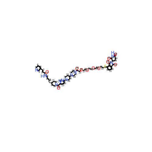 O=C(/C=C/c1cccnc1)NCCCCC1CCN(C(=O)c2ccc(N3CCC(N4CCN(C(=O)COCCOCCOCCOCCSc5cccc6c5C(=O)N(C5CCC(=O)NC5=O)C6=O)CC4)CC3)nn2)CC1